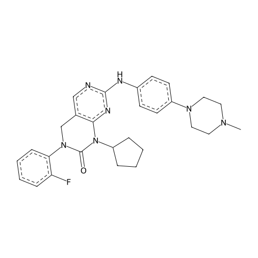 CN1CCN(c2ccc(Nc3ncc4c(n3)N(C3CCCC3)C(=O)N(c3ccccc3F)C4)cc2)CC1